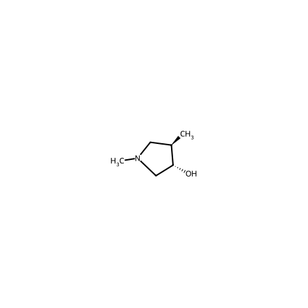 C[C@@H]1CN(C)C[C@H]1O